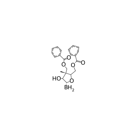 B[C@H]1OC(COC(=O)c2ccccc2)[C@@](C)(COC(=O)c2ccccc2)C1O